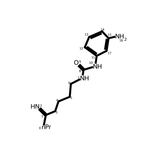 CCCC(=N)CCCCNC(=O)Nc1cccc(N)c1